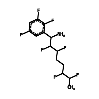 CC(F)C(F)CCC(F)C(F)C(N)c1cc(F)cc(F)c1F